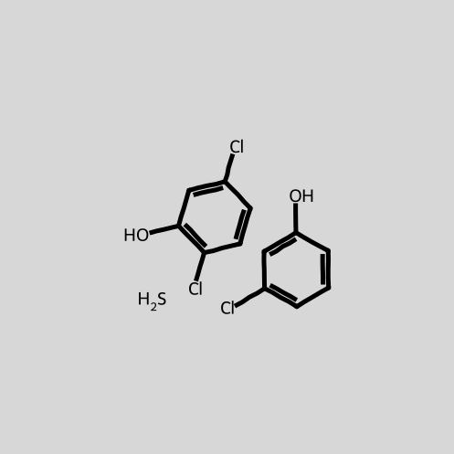 Oc1cc(Cl)ccc1Cl.Oc1cccc(Cl)c1.S